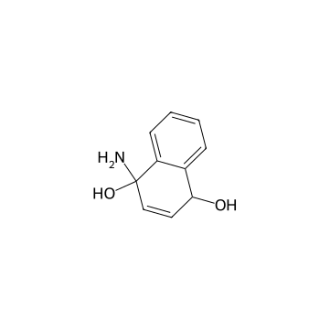 NC1(O)C=CC(O)c2ccccc21